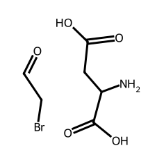 NC(CC(=O)O)C(=O)O.O=CCBr